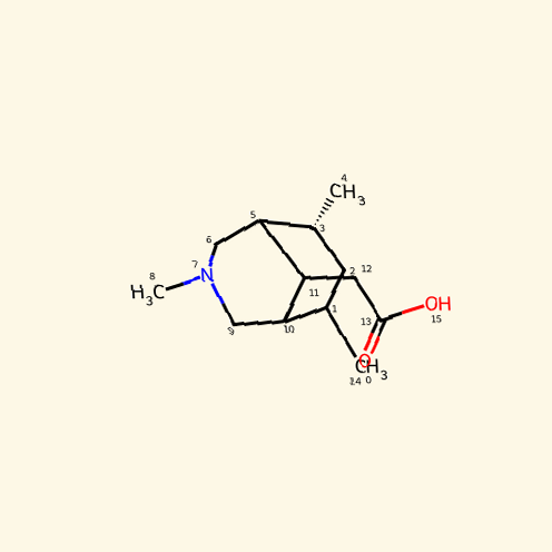 CC1C[C@@H](C)C2CN(C)CC1C2CC(=O)O